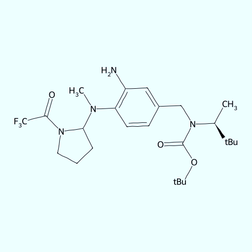 C[C@H](N(Cc1ccc(N(C)C2CCCN2C(=O)C(F)(F)F)c(N)c1)C(=O)OC(C)(C)C)C(C)(C)C